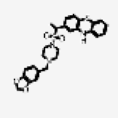 CC(c1ccc2c(c1)Nc1ccccc1S2)S(=O)(=O)N1CCN(Cc2ccc3c(c2)OCO3)CC1